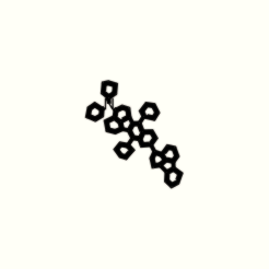 c1ccc(-c2c3c(c(-c4ccccc4)c4cc(-c5ccc6c7c(cccc57)-c5ccccc5-6)ccc24)-c2cccc4c(N(c5ccccc5)c5ccccc5)ccc-3c24)cc1